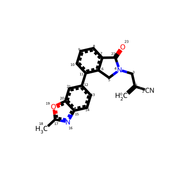 C=C(C#N)CN1Cc2c(cccc2-c2ccc3nc(C)oc3c2)C1=O